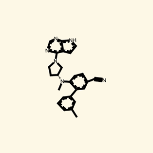 Cc1cccc(-c2cc(C#N)ccc2N(C)[C@@H]2CCN(c3ncnc4[nH]ccc34)C2)c1